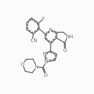 N#Cc1cccc(F)c1-c1cc(-c2ccn(C(=O)N3CCOCC3)n2)c2c(n1)CNC2=O